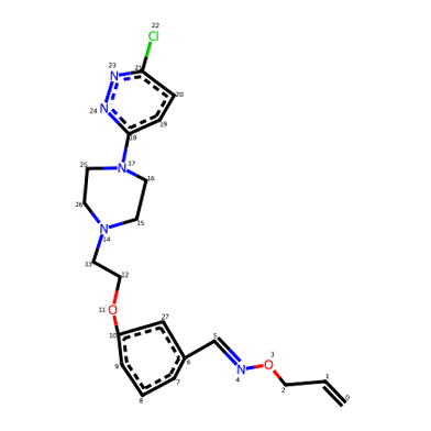 C=CCON=Cc1cccc(OCCN2CCN(c3ccc(Cl)nn3)CC2)c1